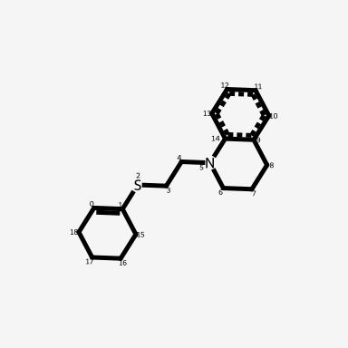 C1=C(SCCN2CCCc3ccccc32)CCCC1